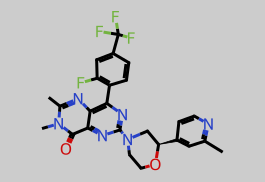 Cc1cc([C@@H]2CN(c3nc(-c4ccc(C(F)(F)F)cc4F)c4nc(C)n(C)c(=O)c4n3)CCO2)ccn1